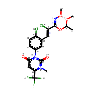 CO/N=C(OC(C)OC)/C(Cl)=C/c1cc(-n2c(=O)cc(C(F)(F)F)n(C)c2=O)ccc1Cl